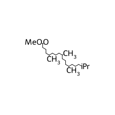 COC(=O)CCCC(C)CCCC(C)CCCC(C)CCCC(C)C